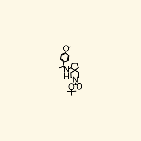 COc1ccc(C(C)NC2CCCC23CCN(C(=O)OC(C)(C)C)CC3)cc1